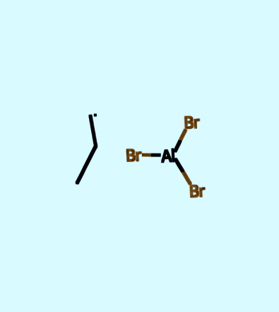 [Br][Al]([Br])[Br].[CH2]CC